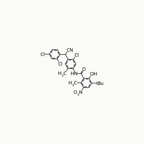 Cc1cc(C(C#N)c2ccc(Cl)cc2Cl)c(Cl)cc1NC(=O)c1c(C)c([N+](=O)[O-])cc(C(C)(C)C)c1O